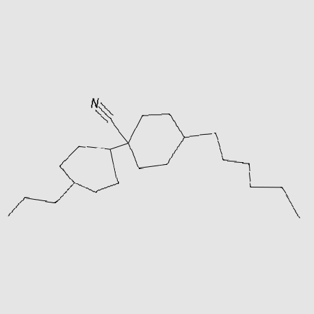 CCCCCCC1CCC(C#N)(C2CCC(CCC)CC2)CC1